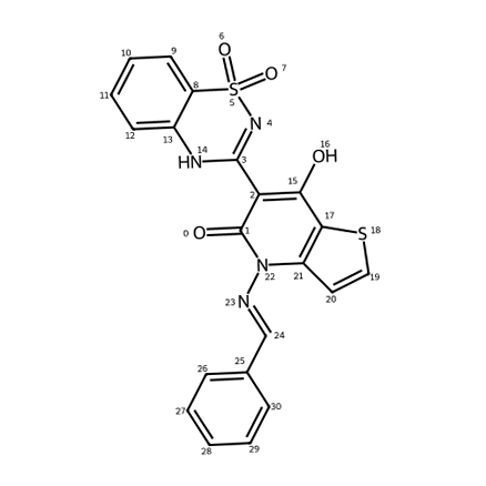 O=c1c(C2=NS(=O)(=O)c3ccccc3N2)c(O)c2sccc2n1/N=C/c1ccccc1